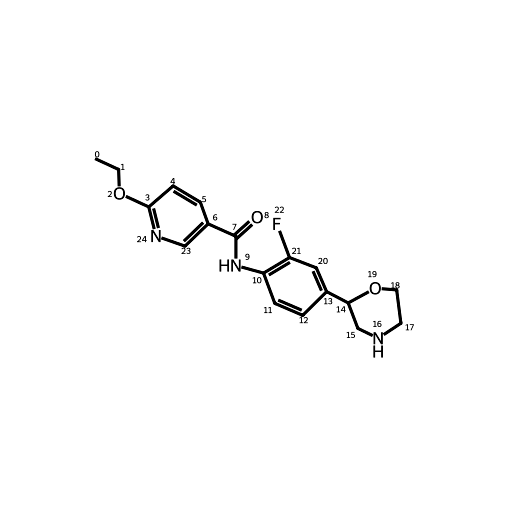 CCOc1ccc(C(=O)Nc2ccc(C3CNCCO3)cc2F)cn1